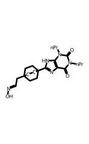 CCCn1c(=O)c2nc(C34CCC(CC=NO)(CC3)CC4)[nH]c2n(CCC)c1=O